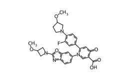 COC1CN(c2nc3ccc(-n4cc(C(=O)O)c(=O)cc4-c4ccc(N5CCC(OC)C5)c(F)c4)cc3o2)C1